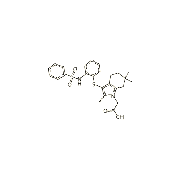 Cc1c(Sc2ccccc2NS(=O)(=O)c2ccccc2)c2c(n1CC(=O)O)CC(C)(C)CC2